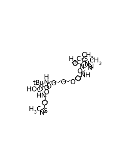 Cc1ncsc1-c1ccc(CNC(=O)[C@@H]2C[C@@H](O)CN2C(=O)C(NC(=O)COCCCOCCCOc2ccc(NC(=O)C[C@@H]3N=C(c4ccccc4)c4c(sc(C)c4C)-n4c(C)nnc43)cc2)C(C)(C)C)cc1